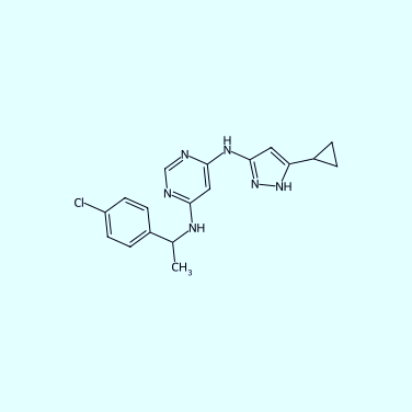 CC(Nc1cc(Nc2cc(C3CC3)[nH]n2)ncn1)c1ccc(Cl)cc1